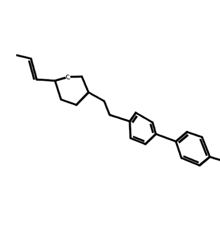 CC=CC1CCC(CCc2ccc(-c3ccc(Cl)cc3)cc2)CC1